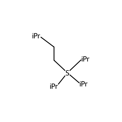 CC(C)CCS(C(C)C)(C(C)C)C(C)C